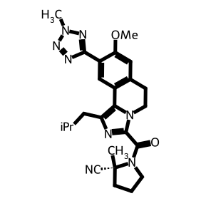 COc1cc2c(cc1-c1nnn(C)n1)-c1c(CC(C)C)nc(C(=O)N3CCC[C@]3(C)C#N)n1CC2